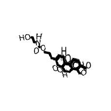 C[C@]12CCC3=C(COC3=O)C1C[C@@H]1O[C@@]13C(=O)C(CCCOC(=O)NCCO)=C[C@@H]1O[C@]123